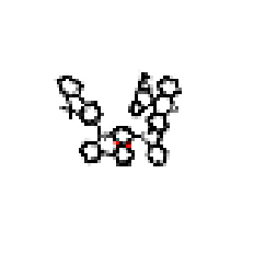 CC1(C)c2ccccc2-c2ccc(N(c3ccc(-n4c5ccccc5c5cc6c(cc54)C4(c5ccccc5O6)c5ccccc5-c5ccccc54)cc3)c3ccccc3-c3ccccc3)cc21